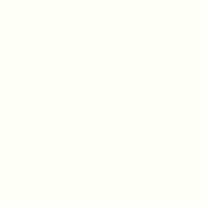 [CH2]CCCCCCCC(C)CCCCCCCCCCCC